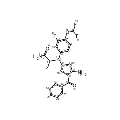 CC(C(N)=O)N(c1ccc(OC(F)F)c(F)c1)c1nc(N)c(C(=O)c2ccccc2)s1